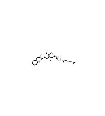 CC[C@@]1(OC(=O)CNC(=O)CCCC(C)=O)C(=O)OCc2c1cc1n(c2=O)Cc2cc3ccccc3nc2-1